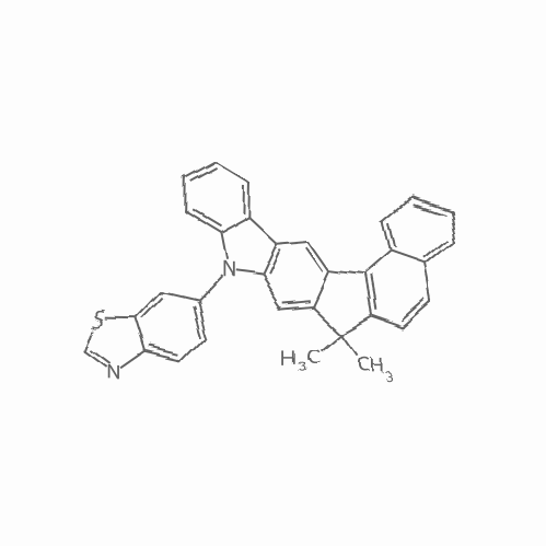 CC1(C)c2cc3c(cc2-c2c1ccc1ccccc21)c1ccccc1n3-c1ccc2ncsc2c1